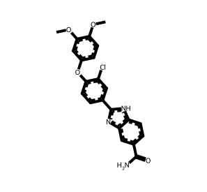 COc1ccc(Oc2ccc(-c3nc4cc(C(N)=O)ccc4[nH]3)cc2Cl)cc1OC